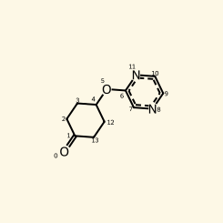 O=C1CCC(Oc2cnccn2)CC1